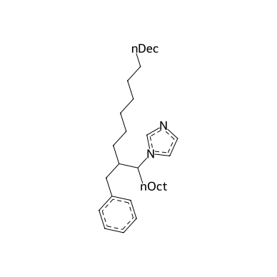 CCCCCCCCCCCCCCCCC(Cc1ccccc1)C(CCCCCCCC)n1ccnc1